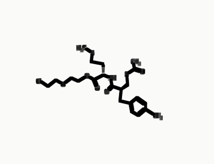 CSCC[C@H](NC(=O)[C@@H](CSC(C)=O)Cc1ccc(C)cc1)C(=O)OCCOCCCl